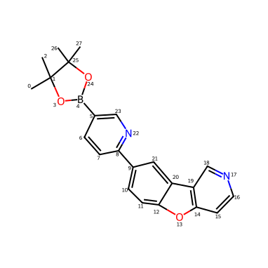 CC1(C)OB(c2ccc(-c3ccc4oc5ccncc5c4c3)nc2)OC1(C)C